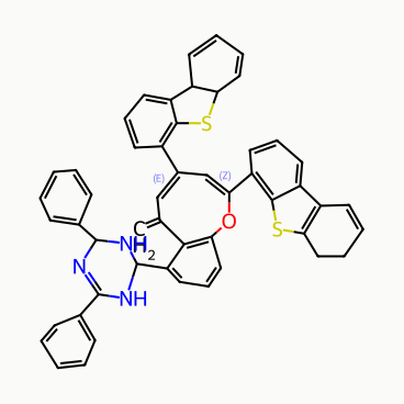 C=C1/C=C(c2cccc3c2SC2C=CC=CC32)\C=C(\c2cccc3c4c(sc23)CCC=C4)Oc2cccc(C3NC(c4ccccc4)=NC(c4ccccc4)N3)c21